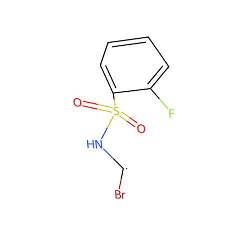 O=S(=O)(N[CH]Br)c1ccccc1F